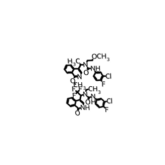 CCN(C(=O)Nc1ccc(F)c(Cl)c1)C(c1c[nH]c(=O)c2ccccc12)C(F)(F)F.COCCN(C(=O)Nc1ccc(F)c(Cl)c1)C(C)c1cnc(OC)c2ccccc12